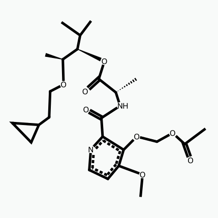 COc1ccnc(C(=O)N[C@@H](C)C(=O)O[C@H](C(C)C)[C@H](C)OCCC2CC2)c1OCOC(C)=O